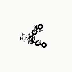 Bc1c(C2CCN(C(=O)C3(O)CCCCC3)CC2)nc2c(-c3ccc(-c4ccccc4)nc3)cnn2c1N